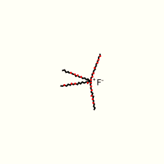 CCCCCCCCCCCCCCCC[N+](CCCCCCCCCCCCCCCC)(CCCCCCCCCCCCCCCC)CCCCCCCCCCCCCCCC.[F-]